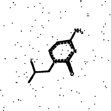 CC(I)Cn1ccc(N)nc1=O